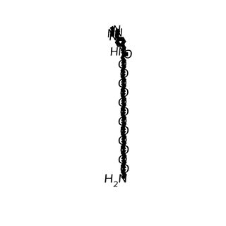 Cc1nnc(-c2ccc(CNC(=O)CCOCCOCCOCCOCCOCCOCCOCCOCCOCCOCCOCCOCCN)cc2)nn1